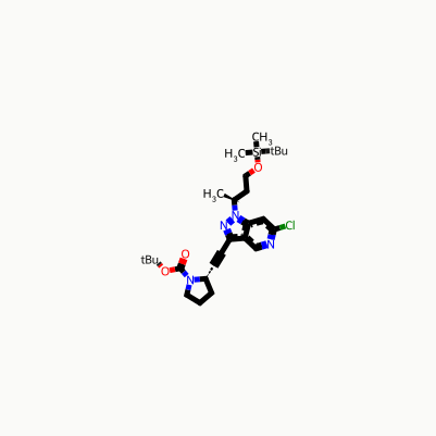 C[C@@H](CCO[Si](C)(C)C(C)(C)C)n1nc(C#C[C@@H]2CCCN2C(=O)OC(C)(C)C)c2cnc(Cl)cc21